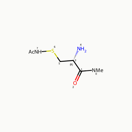 CNC(=O)[C@@H](N)CSNC(C)=O